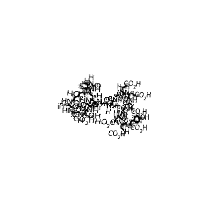 CC(C)[C@H](NC(=O)CCCC[C@@H]1SC[C@@H]2NC(=O)N[C@@H]21)C(=O)N[C@@H](CC(=O)O)C(=O)N[C@@H](CO)C(=O)N[C@H](C(=O)N[C@@H](CCC(=O)O)C(=O)NCC(=O)N[C@@H](CCC(=O)O)C(=O)NCC(=O)N[C@@H](CCC(=O)O)C(=O)N[C@@H](CCC(=O)O)C(=O)N[C@@H](CCC(=O)O)C(=O)NCC(=O)N[C@@H](CCC(=O)O)C(=O)N[C@@H](CCC(=O)O)C(=O)N[C@@H](Cc1ccc(O)cc1)C(=O)O)C(C)C